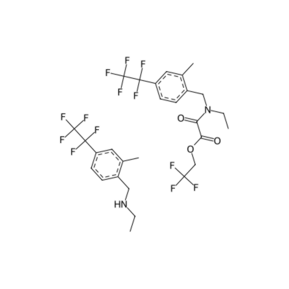 CCN(Cc1ccc(C(F)(F)C(F)(F)F)cc1C)C(=O)C(=O)OCC(F)(F)F.CCNCc1ccc(C(F)(F)C(F)(F)F)cc1C